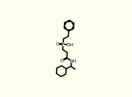 CC(NC(=O)CCP(=O)(O)CCc1ccccc1)C1CCCCC1